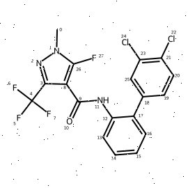 Cn1nc(C(F)(F)F)c(C(=O)Nc2ccccc2-c2ccc(Cl)c(Cl)c2)c1F